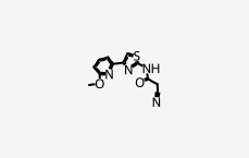 COc1cccc(-c2csc(NC(=O)CC#N)n2)n1